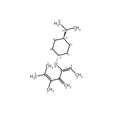 C=C(C(C)=C(C)C)/C(=N\C)O[C@H]1CC[C@H](N(C)C)CC1